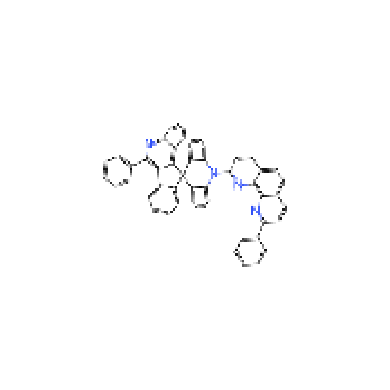 c1ccc(-c2ccc3ccc4ccc(N5c6ccccc6C6(c7ccccc7-c7c(-c8ccccc8)nc8ccccc8c76)c6ccccc65)nc4c3n2)cc1